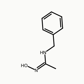 C/C(=N/O)NCc1ccccc1